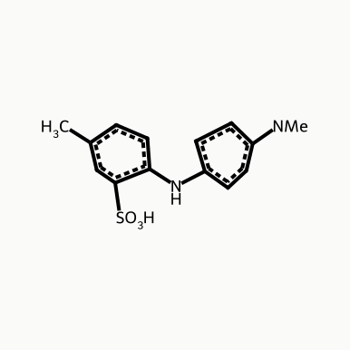 CNc1ccc(Nc2ccc(C)cc2S(=O)(=O)O)cc1